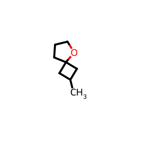 CC1CC2(CCCO2)C1